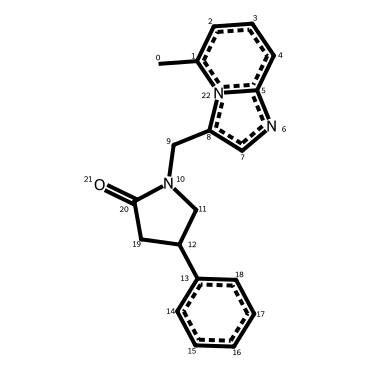 Cc1cccc2ncc(CN3CC(c4ccccc4)CC3=O)n12